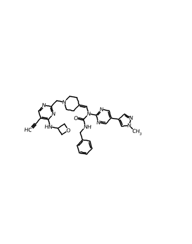 C#Cc1cnc(CN2CCC(=CN(C(=O)NCc3ccccc3)c3ncc(-c4cnn(C)c4)cn3)CC2)nc1NC1COC1